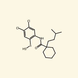 CC(C)CCC1(C(=O)Nc2cc(Cl)c(Cl)cc2SS)CCCCC1